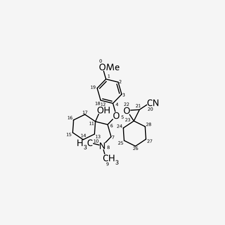 COc1ccc(OC(CN(C)C)C2(O)CCCCC2)cc1.N#CC1OC12CCCCC2